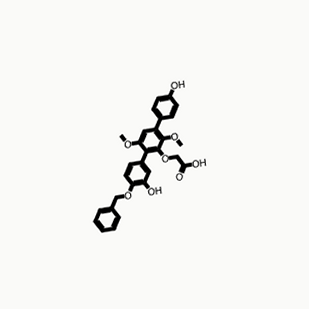 COc1cc(-c2ccc(O)cc2)c(OC)c(OCC(=O)O)c1-c1ccc(OCc2ccccc2)c(O)c1